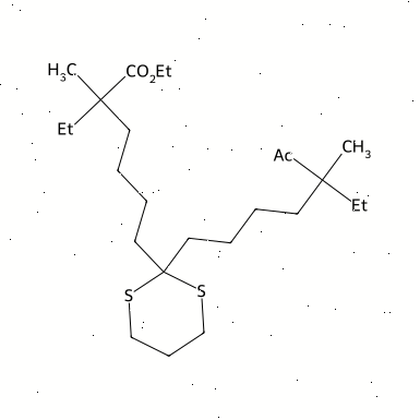 CCOC(=O)C(C)(CC)CCCCC1(CCCCC(C)(CC)C(C)=O)SCCCS1